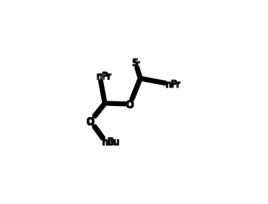 CCCCOC(CCC)OC([S])CCC